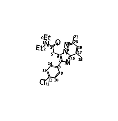 CCN(CC)C(=O)Cc1c(-c2ccc(Cl)cc2)nc2c(C)cc(C)nn12